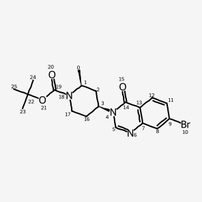 C[C@H]1C[C@@H](n2cnc3cc(Br)ccc3c2=O)CCN1C(=O)OC(C)(C)C